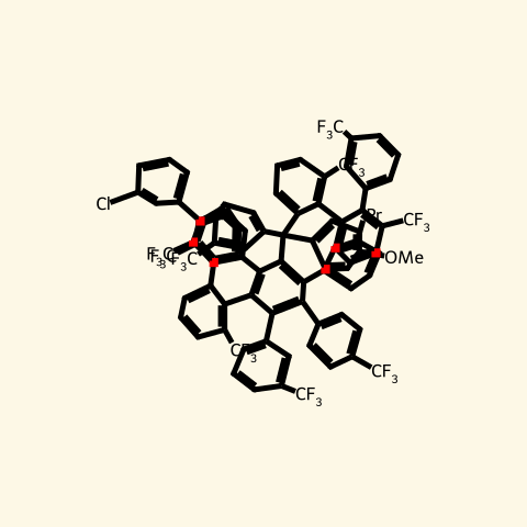 COc1ccc(C(c2cccc(C(F)(F)F)c2)(c2cccc(C(F)(F)F)c2-c2cccc(C(F)(F)F)c2-c2cccc(C(F)(F)F)c2)c2c(-c3cccc(C(C)C)c3)c(-c3ccc(C(F)(F)F)cc3)c(-c3cccc(C(F)(F)F)c3)c(-c3c(-c4cc[c]c(-c5cccc(Cl)c5)c4C(F)(F)F)cccc3C(F)(F)F)c2-c2cccc(C(F)(F)F)c2)cc1